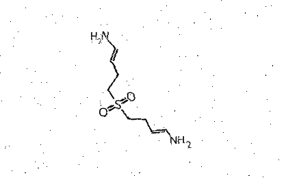 NC=CCCS(=O)(=O)CCC=CN